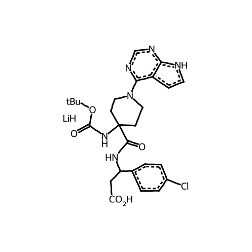 CC(C)(C)OC(=O)NC1(C(=O)NC(CC(=O)O)c2ccc(Cl)cc2)CCN(c2ncnc3[nH]ccc23)CC1.[LiH]